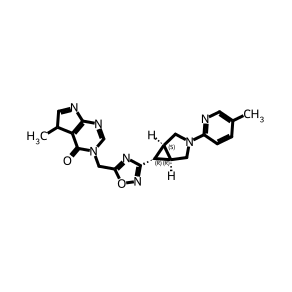 Cc1ccc(N2C[C@@H]3[C@H](C2)[C@H]3c2noc(Cn3cnc4c(c3=O)C(C)C=N4)n2)nc1